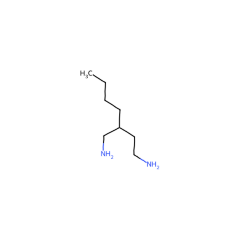 CCCCC(CN)CCN